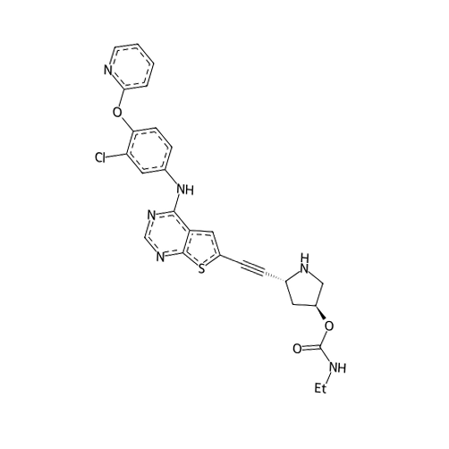 CCNC(=O)O[C@@H]1CN[C@@H](C#Cc2cc3c(Nc4ccc(Oc5ccccn5)c(Cl)c4)ncnc3s2)C1